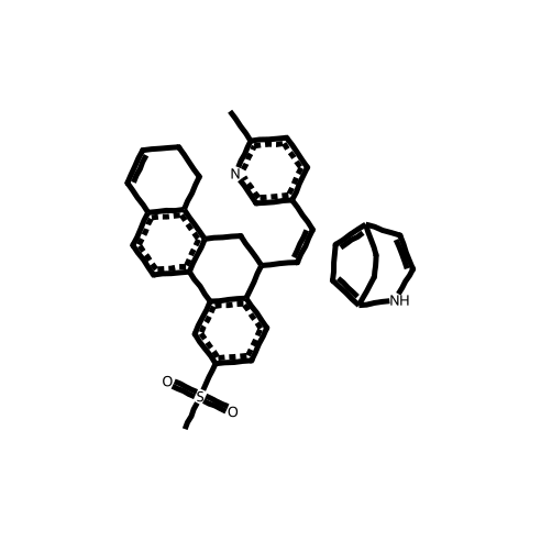 C1=CC2=CC=C(CC2)N1.Cc1ccc(/C=C\C2Cc3c(ccc4c3CCC=C4)-c3cc(S(C)(=O)=O)ccc32)cn1